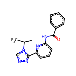 CC(n1cnnc1-c1cccc(NC(=O)c2ccccc2)n1)C(F)(F)F